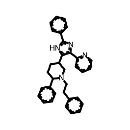 c1ccc(CCN2CC(c3[nH]c(-c4ccccc4)nc3-c3ccccn3)CCC2c2ccccc2)cc1